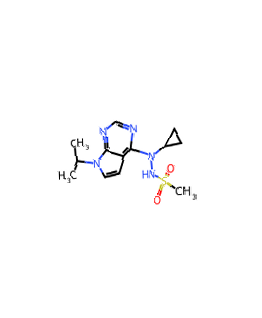 CC(C)n1ccc2c(N(NS(C)(=O)=O)C3CC3)ncnc21